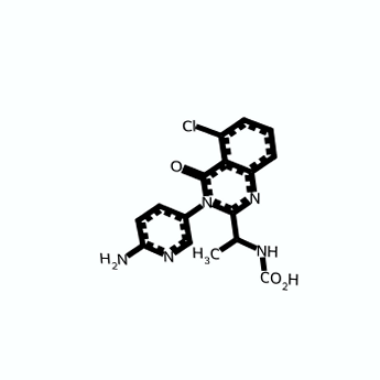 CC(NC(=O)O)c1nc2cccc(Cl)c2c(=O)n1-c1ccc(N)nc1